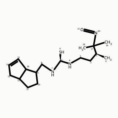 C[C@@H](CCN[C@H](S)NCC1CCC2CC=CC21)C(C)(C)N=O